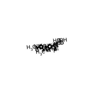 CNC(=O)c1cccc(C(C)n2cnc3cc(-c4cn(COP(=O)(O)O)nc4C(F)(F)F)ccc3c2=O)c1